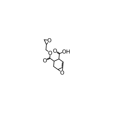 O=C(O)C1C=C2OC2CC1C(=O)OCC1CO1